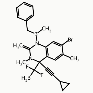 BC(F)(F)C1(C#CC2CC2)c2cc(C)c(Br)cc2N(B(C)Cc2ccccc2)C(=C)N1C